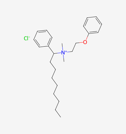 CCCCCCCCC(c1ccccc1)[N+](C)(C)CCOc1ccccc1.[Cl-]